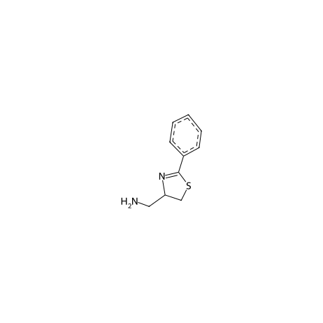 NCC1CSC(c2ccccc2)=N1